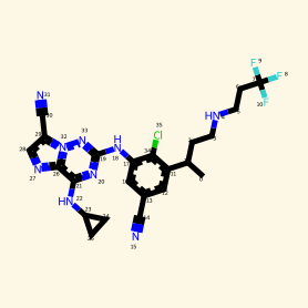 CC(CCNCCC(F)(F)F)c1cc(C#N)cc(Nc2nc(NC3CC3)c3ncc(C#N)n3n2)c1Cl